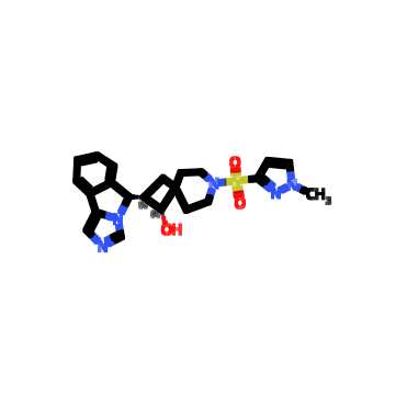 Cn1ccc(S(=O)(=O)N2CCC3(CC2)C[C@@H](C2c4ccccc4-c4cncn42)[C@H]3O)n1